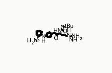 CC(C)(C)OC(=O)N[C@@H](CCCNC(=N)N)C(=O)Cc1ccc(Nc2ccccc2SN)cc1